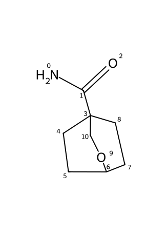 NC(=O)C12CCC(CC1)OC2